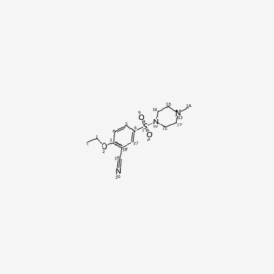 CCOc1ccc(S(=O)(=O)N2CCN(C)CC2)cc1C#N